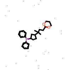 CC(C)(CCC1OCCCO1)C1CCC(P(c2ccccc2)c2ccccc2)C1